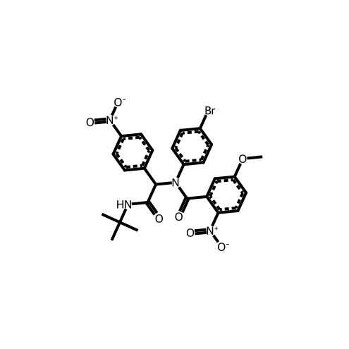 COc1ccc([N+](=O)[O-])c(C(=O)N(c2ccc(Br)cc2)C(C(=O)NC(C)(C)C)c2ccc([N+](=O)[O-])cc2)c1